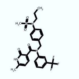 CCCN(c1ccc(CN(C(=O)c2ccc(C)[nH]c2=O)c2cccc(C(F)(F)F)c2)cc1)S(C)(=O)=O